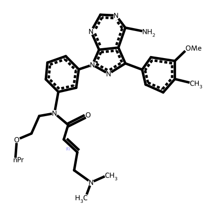 CCCOCCN(C(=O)/C=C/CN(C)C)c1cccc(-n2nc(-c3ccc(C)c(OC)c3)c3c(N)ncnc32)c1